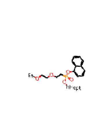 CCCCCCCOP(=O)(CCOCCOCC)Oc1cccc2ccccc12